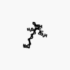 COCCOCO[C@H](C)[C@@H]1C(=O)N[C@@H]1CC(=O)O